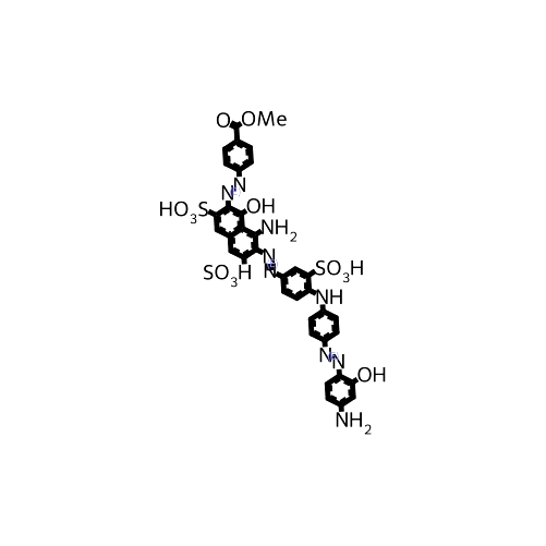 COC(=O)c1ccc(/N=N/c2c(S(=O)(=O)O)cc3cc(S(=O)(=O)O)c(/N=N/c4ccc(Nc5ccc(/N=N/c6ccc(N)cc6O)cc5)c(S(=O)(=O)O)c4)c(N)c3c2O)cc1